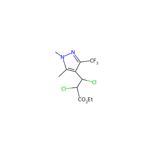 CCOC(=O)C(Cl)C(Cl)c1c(C(F)(F)F)nn(C)c1C